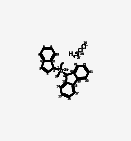 [CH3][Zr+2]([CH3])([CH]1C=Cc2ccccc21)[CH]1c2ccccc2-c2ccccc21.[Cl-].[Cl-].[SiH4]